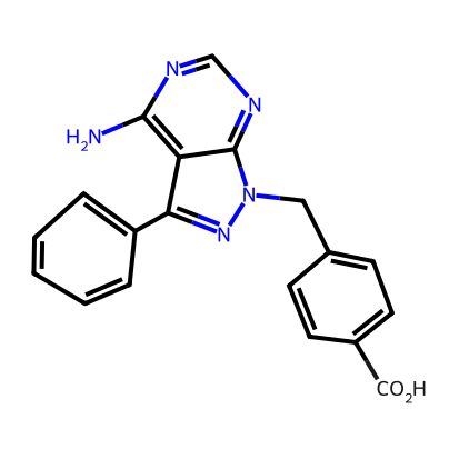 Nc1ncnc2c1c(-c1ccccc1)nn2Cc1ccc(C(=O)O)cc1